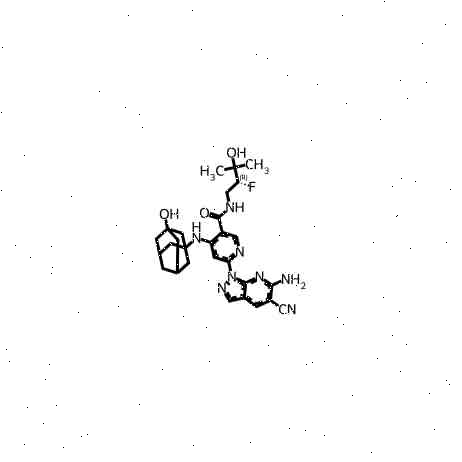 CC(C)(O)[C@H](F)CNC(=O)c1cnc(-n2ncc3cc(C#N)c(N)nc32)cc1NC12CC3CC(CC(O)(C3)C1)C2